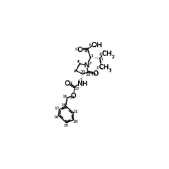 CC(C)[C@@H](C(=O)O)N1CC[C@@H](NC(=O)OCc2ccccc2)C1=O